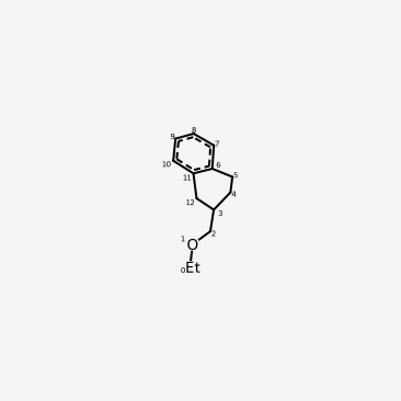 CCOCC1CCc2ccccc2C1